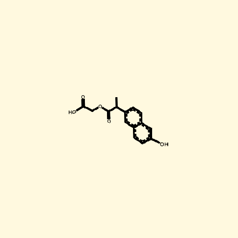 CC(C(=O)OCC(=O)O)c1ccc2cc(O)ccc2c1